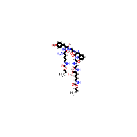 C=CCOC(=O)NCCCCC(N)C(=O)NC(Cc1ccc(O)cc1)C(=O)NCC(=O)NC(Cc1ccccc1)C(=O)NCC(=O)NCC(=O)NC(CCCCNC(=O)OCC=C)C(=O)O